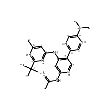 CC(=O)Nc1cc(Nc2cc(C)nc(C(C)(F)F)n2)c(-c2cnc(N(C)C)cn2)cn1